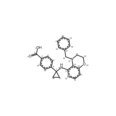 O=C(O)c1ccc(C2(Nc3nccc4c3N(Cc3ccccc3)CCO4)CC2)cc1